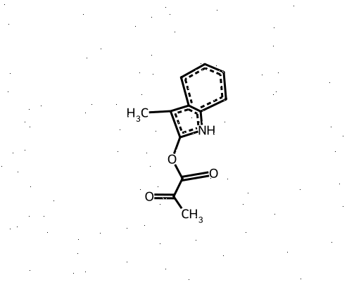 CC(=O)C(=O)Oc1[nH]c2ccccc2c1C